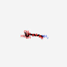 NC(=O)COCCOCCOCCO[C@H]1C[C@@H](O)[C@@H](O)[C@@H](CO)O1